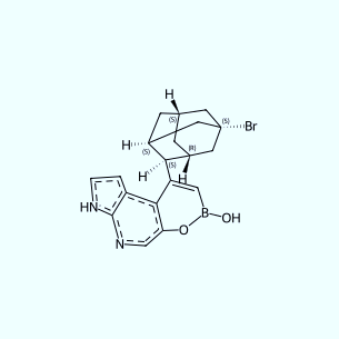 OB1C=C([C@@H]2[C@@H]3C[C@@H]4C[C@H]2C[C@@](Br)(C4)C3)c2c(cnc3[nH]ccc23)O1